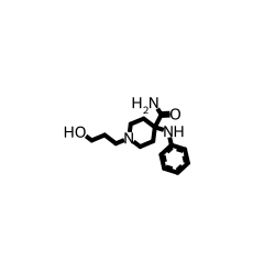 NC(=O)C1(Nc2ccccc2)CCN(CCCO)CC1